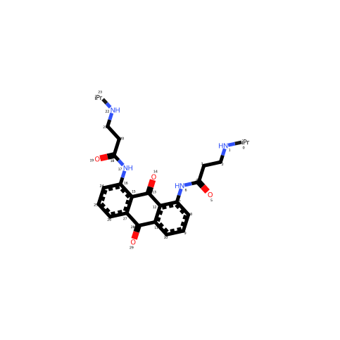 CC(C)NCCC(=O)Nc1cccc2c1C(=O)c1c(NC(=O)CCNC(C)C)cccc1C2=O